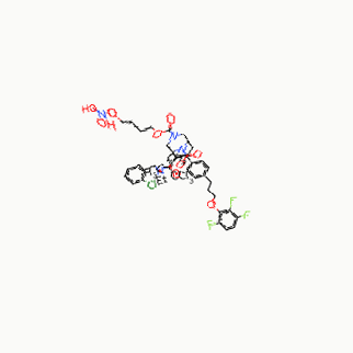 CCN(Cc1ccccc1Cl)C(=O)C1=C(c2ccc(CCCOc3c(F)ccc(F)c3F)cc2)CC2CN(C(=O)OCCCCON(O)O)CC1N2C(=O)OC(C)(C)C(Cl)(Cl)Cl